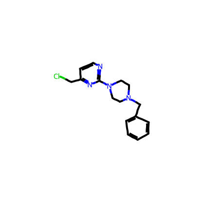 ClCc1ccnc(N2CCN(Cc3ccccc3)CC2)n1